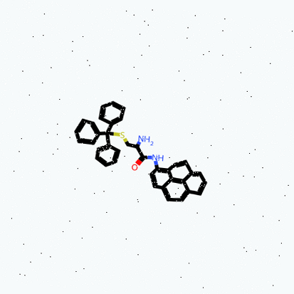 NC(CSC(c1ccccc1)(c1ccccc1)c1ccccc1)C(=O)Nc1ccc2ccc3cccc4ccc1c2c34